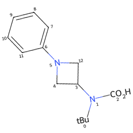 CC(C)(C)N(C(=O)O)C1CN(c2ccccc2)C1